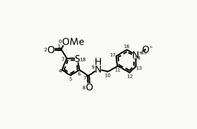 COC(=O)c1ccc(C(=O)NCc2cc[n+]([O-])cc2)s1